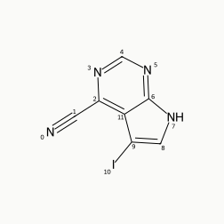 N#Cc1ncnc2[nH]cc(I)c12